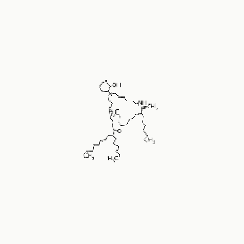 C=C(NCCCCCCN(CCCCCCCC(=O)C(CCCCCC)CCCCCCCC)C1CCCCC1O)C(CCCCCC)CCCCCCCC